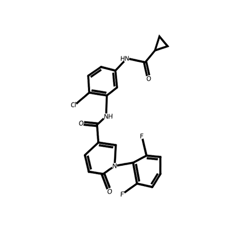 O=C(Nc1cc(NC(=O)C2CC2)ccc1Cl)c1ccc(=O)n(-c2c(F)cccc2F)c1